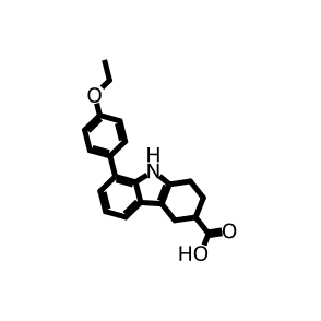 CCOc1ccc(-c2cccc3c4c([nH]c23)CCC(C(=O)O)C4)cc1